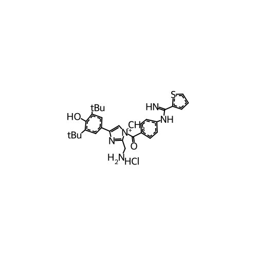 CC(C)(C)c1cc(C2=C[N+](C)(C(=O)c3ccc(NC(=N)c4cccs4)cc3)C(CN)=N2)cc(C(C)(C)C)c1O.Cl